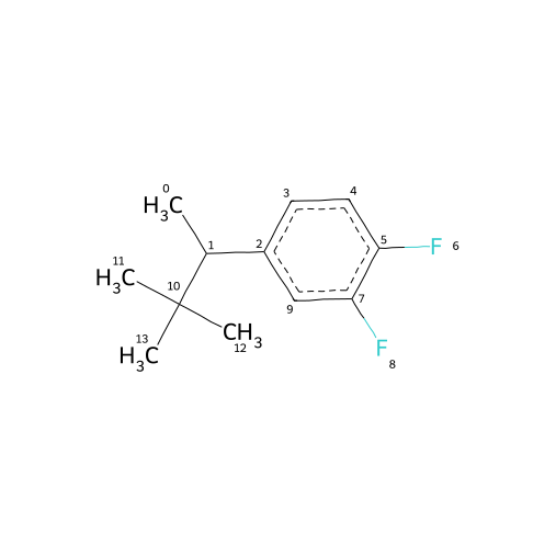 CC(c1ccc(F)c(F)c1)C(C)(C)C